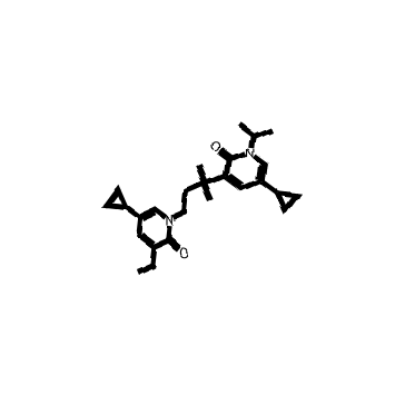 CCc1cc(C2CC2)cn(CCC(C)(C)c2cc(C3CC3)cn(C(C)C)c2=O)c1=O